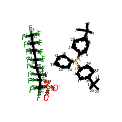 CC(C)(C)c1ccc([S+](c2ccccc2)c2ccc(C(C)(C)C)cc2)cc1.O=S(=O)([O-])C(F)(F)C(F)(F)C(F)(F)C(F)(F)C(F)(F)C(F)(F)C(F)(F)C(F)(F)F